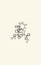 CCOC(=O)C(Cl)CC1(CC(Cl)C(=O)OCC)CCCCNC1=O